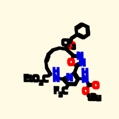 CCOC(=O)C1CC=CCCC(OCc2ccccc2)(C(F)(F)F)c2nnc(o2)-c2nc(c(C(F)(F)F)cc2NC(=O)OC(C)(C)C)N1